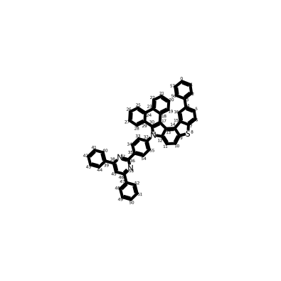 c1ccc(-c2ccc3sc4ccc5c(c4c3c2)c2c3ccccc3c3ccccc3c2n5-c2ccc(-c3nc(-c4ccccc4)cc(-c4ccccc4)n3)cc2)cc1